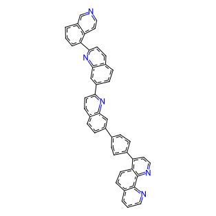 c1cc(-c2ccc3ccc(-c4ccc5ccc(-c6ccc(-c7ccnc8c7ccc7cccnc78)cc6)cc5n4)cc3n2)c2ccncc2c1